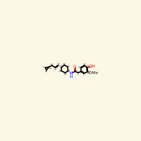 COc1cc(CC(=O)N[C@H]2CC[C@@H](/C=C/CC3CC3)CC2)ccc1O